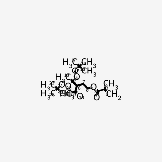 C=C(C)C(=O)OCCC(C(=O)O)C(C)(OOC(C)(C)C)OOC(C)(C)C